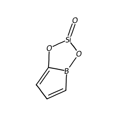 O=[Si]1OB2C=CC=C2O1